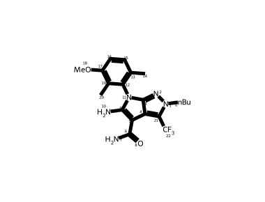 CCCCn1nc2c(c(C(N)=O)c(N)n2-c2c(C)ccc(OC)c2C)c1C(F)(F)F